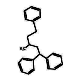 CC(CCc1ccccc1)CC(c1ccccc1)c1ccccc1